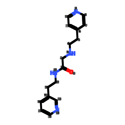 O=C(CNCCc1ccncc1)NCCc1cccnc1